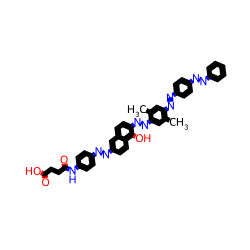 Cc1cc(N=Nc2ccc3cc(N=Nc4ccc(NC(=O)CCC(=O)O)cc4)ccc3c2O)c(C)cc1N=Nc1ccc(N=Nc2ccccc2)cc1